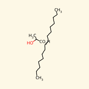 CC(O)C(=O)O.CCCCCCCCCCCCCCCC